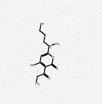 CCC(=O)c1c(O)cc([C@H](C)CCCO)oc1=O